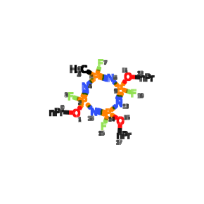 CCCOP1(F)=NP(C)(F)=NP(F)(OCCC)=NP(F)(OCCC)=N1